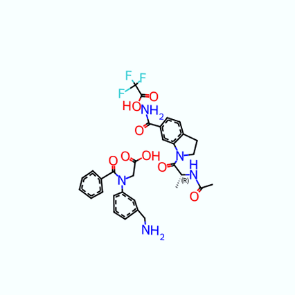 CC(=O)N[C@H](C)C(=O)N1CCc2ccc(C(N)=O)cc21.NCc1cccc(N(CC(=O)O)C(=O)c2ccccc2)c1.O=C(O)C(F)(F)F